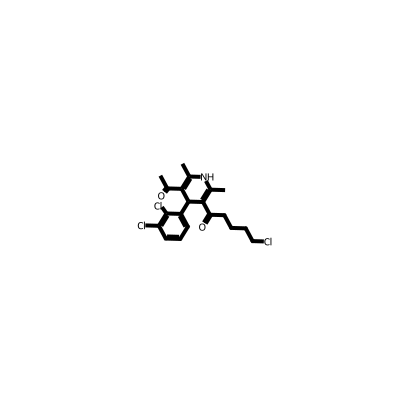 CC(=O)C1=C(C)NC(C)=C(C(=O)CCCCCl)C1c1cccc(Cl)c1Cl